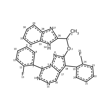 CC(Oc1nn2c(-c3ccccc3F)nncc2c1-c1ccccc1F)c1nc2ccccc2[nH]1